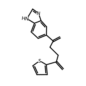 C=C(CCC(=C)c1cccs1)c1ccc2[nH]cnc2c1